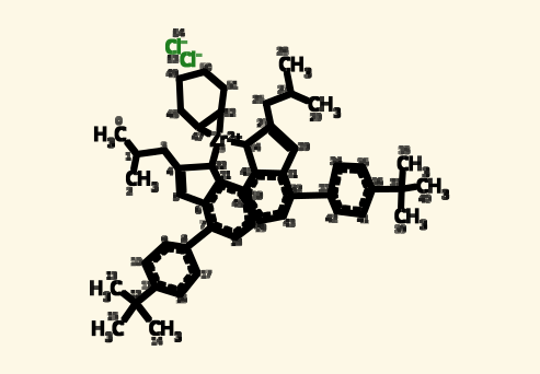 CC(C)CC1=Cc2c(-c3ccc(C(C)(C)C)cc3)cccc2[CH]1[Zr+2]1([CH]2C(CC(C)C)=Cc3c(-c4ccc(C(C)(C)C)cc4)cccc32)[CH]2CCCC[CH]21.[Cl-].[Cl-]